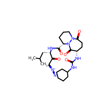 CC(C)C[C@H](NC(=O)[C@@H]1CCCN2C(=O)CC[C@H](NC(=O)NC3CCCCC3)C(=O)N12)C(=O)C=[N+]=[N-]